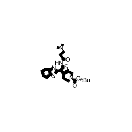 CN(C)CCC(=O)Nc1sc2c(c1-c1nc3ccccc3s1)CCN(C(=O)OC(C)(C)C)C2